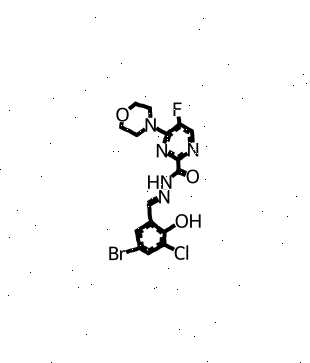 O=C(NN=Cc1cc(Br)cc(Cl)c1O)c1ncc(F)c(N2CCOCC2)n1